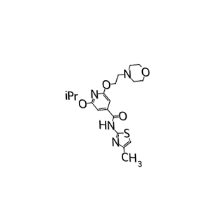 Cc1csc(NC(=O)c2cc(OCCN3CCOCC3)nc(OC(C)C)c2)n1